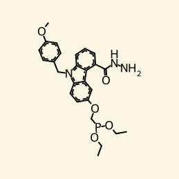 CCOP(COc1ccc2c(c1)c1c(C(=O)NN)cccc1n2Cc1ccc(OC)cc1)OCC